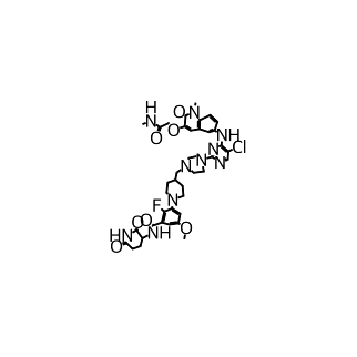 CNC(=O)COc1cc2cc(Nc3nc(N4CCN(CC5CCN(c6cc(OC)cc(C(=O)NC7CCC(=O)NC7=O)c6F)CC5)CC4)ncc3Cl)ccc2n(C)c1=O